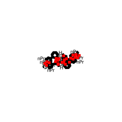 CCCc1cc(C2C=CC=CC3=C2C=C(C)[C]32[SiH](C)[C]3(C(C)=CC4=C3C=CC=CC4c3cc(CCC)c([Si](C)(C)C)c(CCC)c3)[Hf]23([Cl])([Cl])[C]2(C(C)=CC4=C2C=CC=CC4c2cc(CCC)c([Si](C)(C)C)c(CCC)c2)[SiH](C)[C]32C(C)=CC3=C2C=CC=CC3c2cc(CCC)c([Si](C)(C)C)c(CCC)c2)cc(CCC)c1[Si](C)(C)C